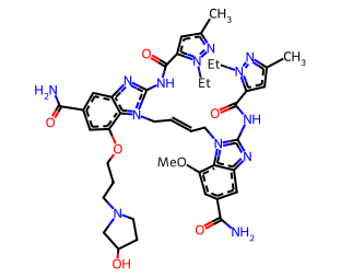 CCn1nc(C)cc1C(=O)Nc1nc2cc(C(N)=O)cc(OC)c2n1CC=CCn1c(NC(=O)c2cc(C)nn2CC)nc2cc(C(N)=O)cc(OCCCN3CCC(O)C3)c21